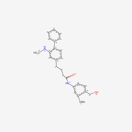 COc1cc(NC(=O)CCCc2ccc(-c3ccccc3)c(NC(=O)O)c2)ccc1CO